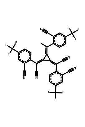 C/C(=C1\C(=C(C#N)c2ccc(C(F)(F)F)cc2C#N)\C1=C(\C#N)c1ccc(C(F)(F)F)cc1C#N)c1ccc(C(F)(F)F)cc1C#N